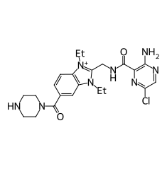 CCn1c(CNC(=O)c2nc(Cl)cnc2N)[n+](CC)c2ccc(C(=O)N3CCNCC3)cc21